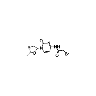 CC1OC(n2ccc(NC(=O)CBr)nc2=O)CS1